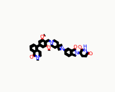 COc1cc(-c2cccc3c(=O)n(C)ccc23)cc(OC)c1CN1CCC2(CC1)CN(c1ccc3c(c1)C(=O)N(C1CCC(=O)NC1=O)C3)C2